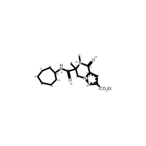 CCOC(=O)c1cc2n(n1)CC(C)(C(=O)NC1CCCCCC1)N(C)C2=O